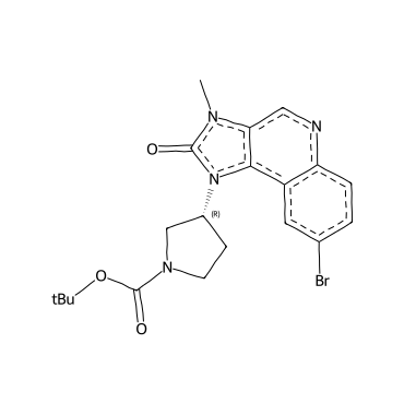 Cn1c(=O)n([C@@H]2CCN(C(=O)OC(C)(C)C)C2)c2c3cc(Br)ccc3ncc21